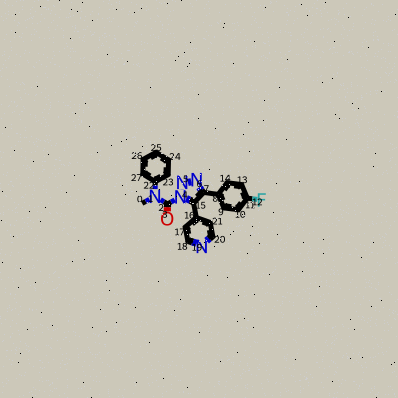 CN(C(=O)n1nnc(-c2ccc(F)cc2)c1-c1ccncc1)c1ccccc1